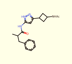 CC(=O)NC1CC(c2cc(NC(=O)C(C)Cc3ccccc3)[nH]n2)C1